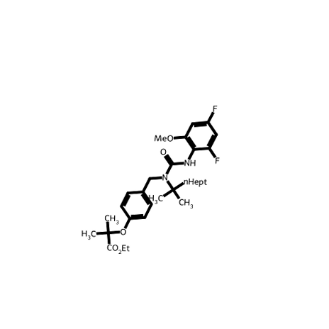 CCCCCCCC(C)(C)N(Cc1ccc(OC(C)(C)C(=O)OCC)cc1)C(=O)Nc1c(F)cc(F)cc1OC